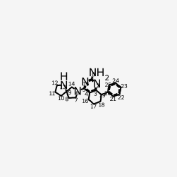 Nc1nc2c(c(N3CCC4(CCCN4)C3)n1)CCCC2c1ccccc1